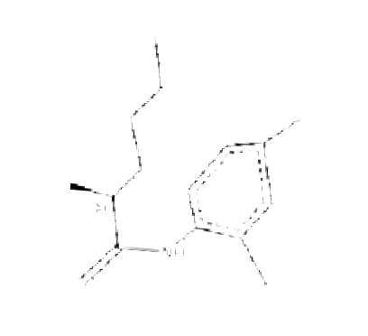 C=C(Nc1ccc(C)cc1C)[C@@H](C)CCCC